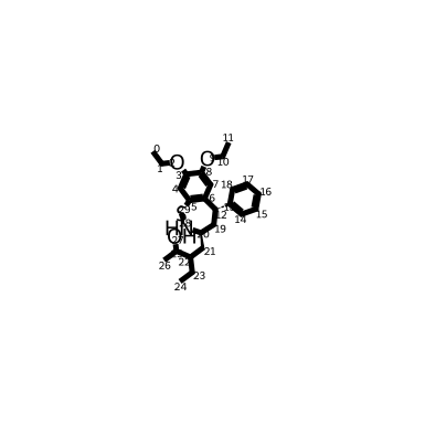 CCOc1cc2c(cc1OCC)[C@H](c1ccccc1)C[C@@H](CC(CC)C(C)O)NS2